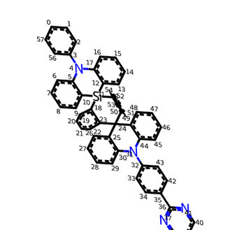 c1ccc(N2c3ccccc3[Si]3(c4ccccc42)c2ccccc2C2(c4ccccc4N(c4ccc(-c5ncccn5)cc4)c4ccccc42)c2ccccc23)cc1